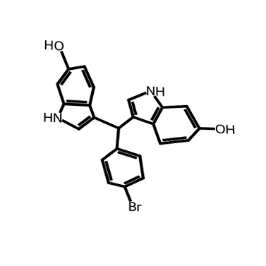 Oc1ccc2c(C(c3ccc(Br)cc3)c3c[nH]c4cc(O)ccc34)c[nH]c2c1